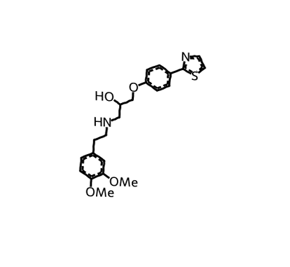 COc1ccc(CCNCC(O)COc2ccc(-c3nccs3)cc2)cc1OC